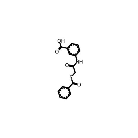 O=C(CSC(=O)c1ccccc1)Nc1cccc(C(=O)O)c1